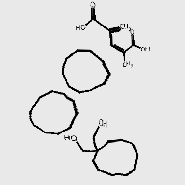 C1CCCCCCCCC1.C1CCCCCCCCC1.C=C(C=C(C)C(=O)O)C(=O)O.OCC1(CO)CCCCCCCCC1